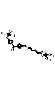 CC(C)(C)OCCCCCOCC12CC(C(=O)N3CC(OC(C)(C)C)C3)(C1)C2